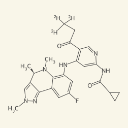 [2H]C([2H])([2H])CC(=O)c1cnc(NC(=O)C2CC2)cc1Nc1cc(F)cc2c1N(C)[C@H](C)c1cn(C)nc1-2